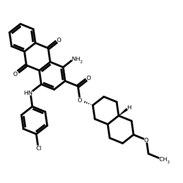 CCOC1CCC2C[C@H](OC(=O)c3cc(Nc4ccc(Cl)cc4)c4c(c3N)C(=O)c3ccccc3C4=O)CC[C@@H]2C1